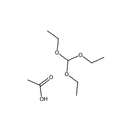 CC(=O)O.CCOC(OCC)OCC